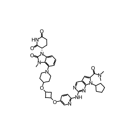 CN(C)C(=O)c1cc2cnc(Nc3ccc(OC4CC(OC5CCN(c6cccc7c6n(C)c(=O)n7[C@H]6CCC(=O)NC6=O)CC5)C4)cn3)nc2n1C1CCCC1